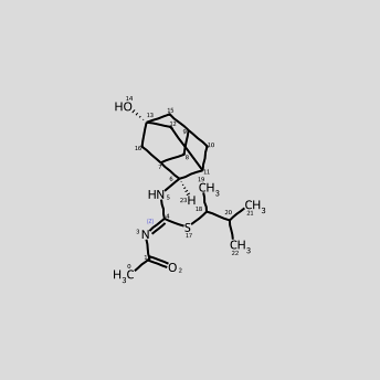 CC(=O)/N=C(/N[C@H]1C2CC3CC1C[C@](O)(C3)C2)SC(C)C(C)C